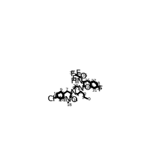 CCCC1CN(C(Cc2ccc(Cl)cc2)C(=O)NC)CCN1C(=O)C(Cc1ccc(F)cc1)NC(=O)C(F)(F)F